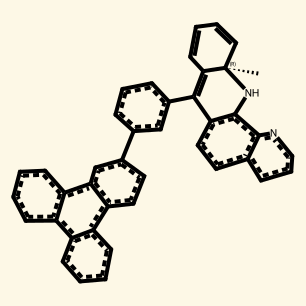 C[C@@]12C=CC=CC1=C(c1cccc(-c3ccc4c5ccccc5c5ccccc5c4c3)c1)c1ccc3cccnc3c1N2